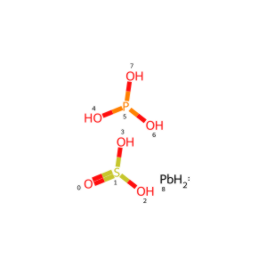 O=S(O)O.OP(O)O.[PbH2]